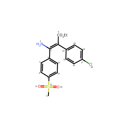 CCOC(=O)C(=C(N)c1ccc(S(C)(=O)=O)cc1)c1ccc(Cl)cc1